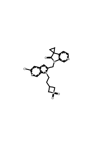 O=C1N(Cc2cc3cc(Cl)ncc3n2CCC2CS(=O)(=O)C2)c2cnccc2C12CC2